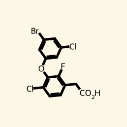 O=C(O)Cc1ccc(Cl)c(Oc2cc(Cl)cc(Br)c2)c1F